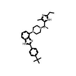 CCc1nc(C)c([C@@H](C)N2CCN(c3cccc4[nH]c(-c5ccc(C(C)(C)C)cc5)nc34)CC2)[nH]1